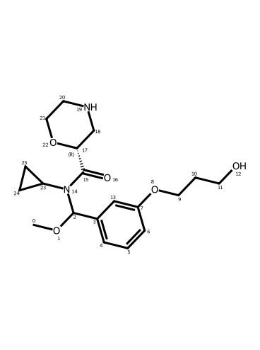 COC(c1cccc(OCCCO)c1)N(C(=O)[C@H]1CNCCO1)C1CC1